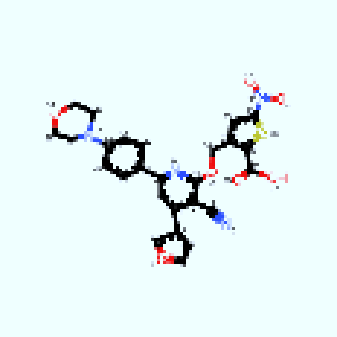 N#Cc1c(-c2ccoc2)cc(-c2ccc(N3CCOCC3)cc2)nc1OCc1cc([N+](=O)[O-])sc1C(=O)O